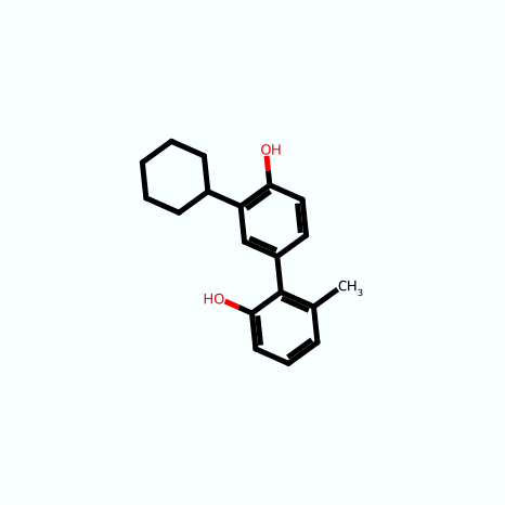 Cc1cccc(O)c1-c1ccc(O)c(C2CCCCC2)c1